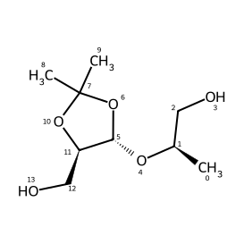 C[C@H](CO)O[C@H]1OC(C)(C)O[C@@H]1CO